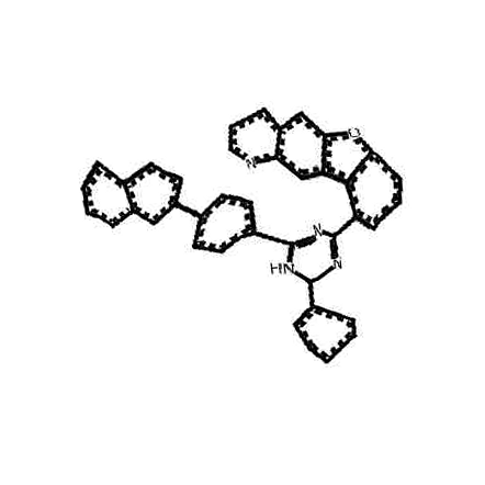 c1ccc(C2N=C(c3cccc4oc5cc6cccnc6cc5c34)N=C(c3ccc(-c4ccc5ccccc5c4)cc3)N2)cc1